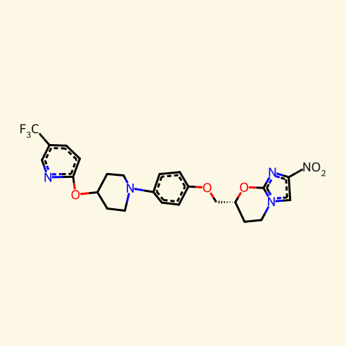 O=[N+]([O-])c1cn2c(n1)O[C@@H](COc1ccc(N3CCC(Oc4ccc(C(F)(F)F)cn4)CC3)cc1)CC2